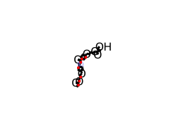 C=CC(=O)OCCCOc1ccc(/C=C/C(=O)c2ccc(OCCCOC(=O)C(=C)CO)cc2)cc1